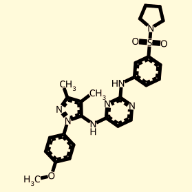 COc1ccc(-n2nc(C)c(C)c2Nc2ccnc(Nc3cccc(S(=O)(=O)N4CCCC4)c3)n2)cc1